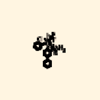 NS(=O)(=O)c1cc(-c2ccccc2)ccc1-n1cc(C(F)(F)F)nc1-c1ccccc1Cl